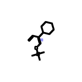 C=C/C(=C\O[Si](C)(C)C)C1CCCCC1